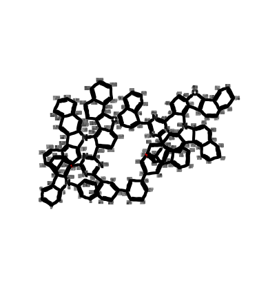 c1ccc(-n2c3ccccc3c3cccc(-c4nc(-c5cccc(-c6cccc(-c7ccc8c(c7)c7ccccc7n8-c7nc(-c8ccc9oc%10c%11ccccc%11ccc%10c9c8-n8c9cc%10ccccc%10cc9c9c%10ccccc%10ccc98)nc(-c8cccc9ccccc89)n7)c6)c5)nc(-c5ccc6oc7c8ccccc8ccc7c6c5-n5c6cc7ccccc7cc6c6c7ccccc7ccc65)n4)c32)cc1